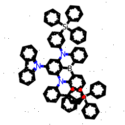 c1ccc(-c2ccccc2N2c3cc([Si](c4ccccc4)(c4ccccc4)c4ccccc4)ccc3B3c4ccccc4N(c4cccc([Si](c5ccccc5)(c5ccccc5)c5ccccc5)c4)c4cc(-n5c6ccccc6c6ccccc65)cc2c43)cc1